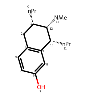 CCC[C@H]1Cc2ccc(O)cc2[C@@H](CCC)[C@H]1NC